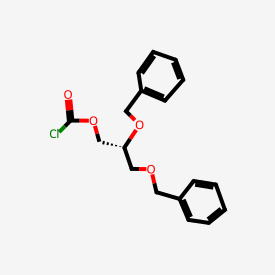 O=C(Cl)OC[C@@H](COCc1ccccc1)OCc1ccccc1